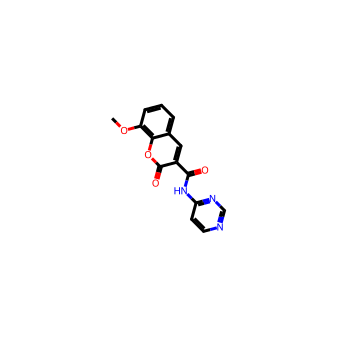 COc1cccc2cc(C(=O)Nc3ccncn3)c(=O)oc12